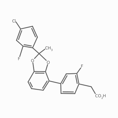 CC1(c2ccc(Cl)cc2F)Oc2cccc(-c3ccc(CC(=O)O)c(F)c3)c2O1